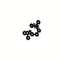 CC1(C)c2cc(-c3cccc(-c4cccc(C5=NC(c6ccccc6)NC(c6ccccc6)=N5)c4)c3)ccc2-c2c1cc1ccccc1c2-c1ccccc1